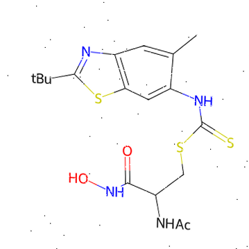 CC(=O)NC(CSC(=S)Nc1cc2sc(C(C)(C)C)nc2cc1C)C(=O)NO